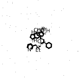 CCN(Cc1cccnc1)C[C@@H]1O[C@@H](C23C[C@@H]4[C@H](C)CC[C@H]4C4(C=O)CC2C=C(C(C)C)[C@]43C(=O)O)C[C@H]1C1CCCCC1